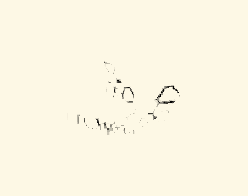 CB(CC(C)(C)O)OOC(C(C)(C)CC(C)Cc1ccc2cc(-c3ccccc3)c(=O)oc2c1)C(C)(C)CC(C)(C)Cc1ccc2cc(-c3ccccc3)c(=O)oc2c1